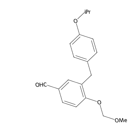 COCOc1ccc(C=O)cc1Cc1ccc(OC(C)C)cc1